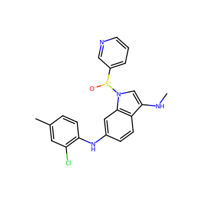 CNc1cn([S+]([O-])c2cccnc2)c2cc(Nc3ccc(C)cc3Cl)ccc12